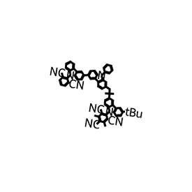 Cc1c(C#N)c(C)c(C#N)c(-n2c3ccc(C(C)(C)C)cc3c3cc(C(C)(C)Cc4ccc5c6cc(-c7ccc8c(c7)c7ccccc7n8-c7c(C#N)cccc7C#N)ccc6n(-c6ccccc6)c5c4)ccc32)c1C#N